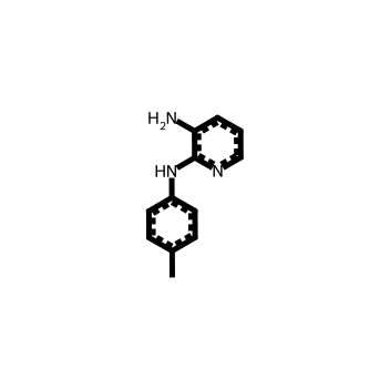 Cc1ccc(Nc2ncccc2N)cc1